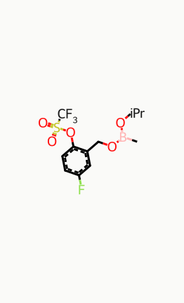 CB(OCc1cc(F)ccc1OS(=O)(=O)C(F)(F)F)OC(C)C